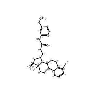 COc1ccnc(NC(=O)CC[C@@H]2CC(=O)[C@@]3(C)CCC4c5cccc(F)c5CCC4C23)c1